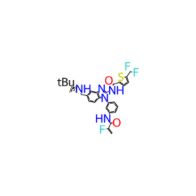 C=C(F)C(=O)Nc1cccc(-n2c(NC(=O)c3ccc(C(F)F)s3)nc3cc(CN[C@@H](C)C(C)(C)C)ccc32)c1